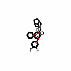 O=C(OCC1C2CCC1CN(Cc1ccccc1)C2)N(Cc1ccc(F)c(F)c1)c1ccccc1